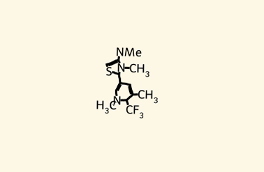 CNC1=CSC(C2=CN(C)C(C(F)(F)F)C(C)=C2)N1C